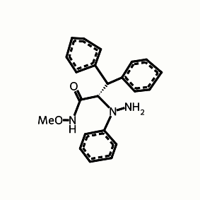 CONC(=O)[C@H](C(c1ccccc1)c1ccccc1)N(N)c1ccccc1